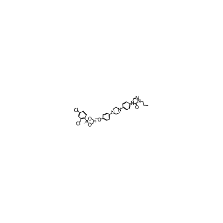 CCCn1ncn(-c2ccc(N3CCN(c4ccc(OC[C@@H]5CO[C@@](C)(c6ccc(Cl)cc6Cl)O5)cc4)CC3)cc2)c1=O